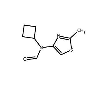 Cc1nc(N([C]=O)C2CCC2)cs1